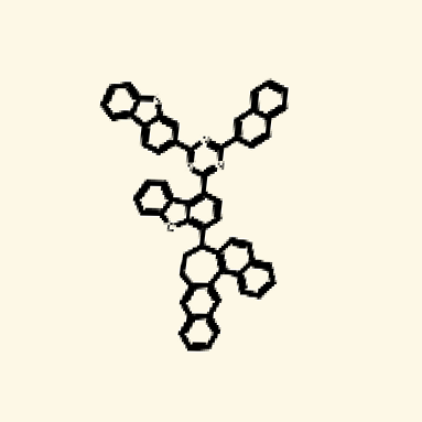 c1ccc2cc(-c3nc(-c4ccc5c(c4)sc4ccccc45)nc(-c4ccc(C5CCc6cc7ccccc7cc6-c6c5ccc5ccccc65)c5oc6ccccc6c45)n3)ccc2c1